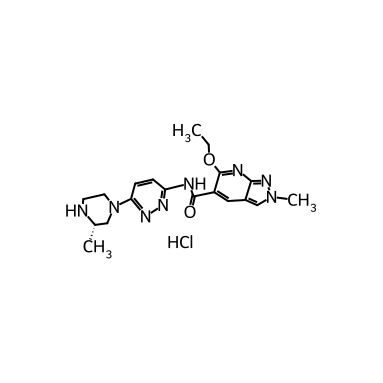 CCOc1nc2nn(C)cc2cc1C(=O)Nc1ccc(N2CCN[C@@H](C)C2)nn1.Cl